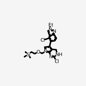 CCn1cc2c(Cl)c(-c3cn(COCC[Si](C)(C)C)c4c3CNC(Cl)=N4)ccc2n1